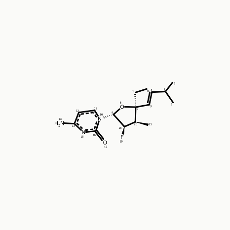 CC[C@@]1(/C=C/C(C)C)O[C@@H](n2ccc(N)nc2=O)[C@H](F)[C@@H]1C